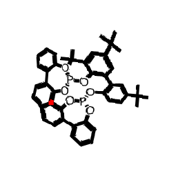 CC(C)(C)c1ccc(Op2oc3ccccc3c3ccccc3o2)c(-c2cc(C(C)(C)C)cc(C(C)(C)C)c2Op2oc3ccccc3c3ccccc3o2)c1